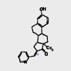 CC12CCC3c4ccc(O)cc4CCC3C1C/C(=C\c1ccccn1)C2=O